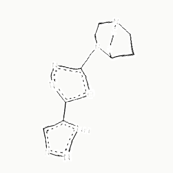 c1nn[nH]c1-c1nnc(N2CCN3CCC2CC3)o1